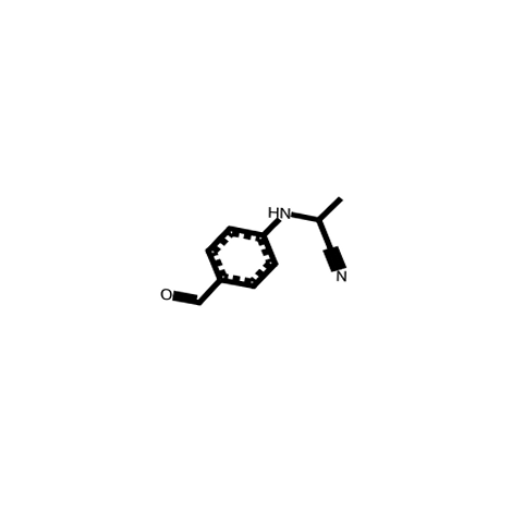 CC(C#N)Nc1ccc(C=O)cc1